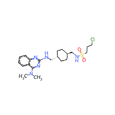 CN(C)c1nc(NC[C@H]2CC[C@H](CNS(=O)(=O)CCCCl)CC2)nc2ccccc12